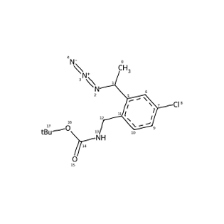 CC(N=[N+]=[N-])c1cc(Cl)ccc1CNC(=O)OC(C)(C)C